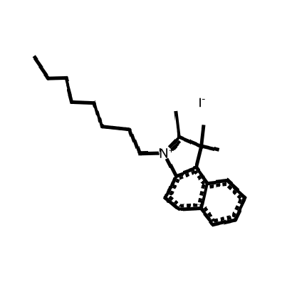 CCCCCCCC[N+]1=C(C)C(C)(C)c2c1ccc1ccccc21.[I-]